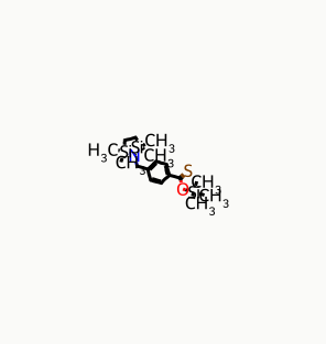 C[Si](C)(C)OC(=S)c1ccc(CN2[Si](C)(C)CC[Si]2(C)C)cc1